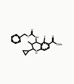 COC(=O)c1ccc2c(c1F)C(NC(=O)OCc1ccccc1)C(C)C(C1CC1)N2